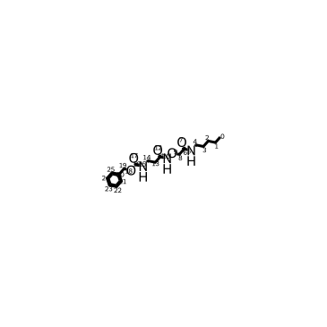 CCCCCNC(=O)CONC(=O)CCNC(=O)OCc1ccccc1